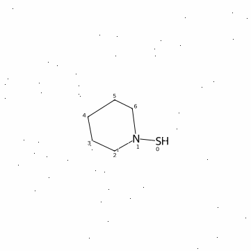 SN1[CH]CCCC1